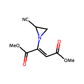 COC(=O)/C=C(/C(=O)OC)N1CC1C#N